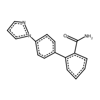 NC(=O)c1ccccc1-c1ccc(-n2cccn2)cc1